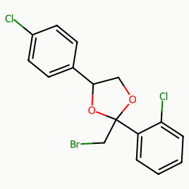 Clc1ccc(C2COC(CBr)(c3ccccc3Cl)O2)cc1